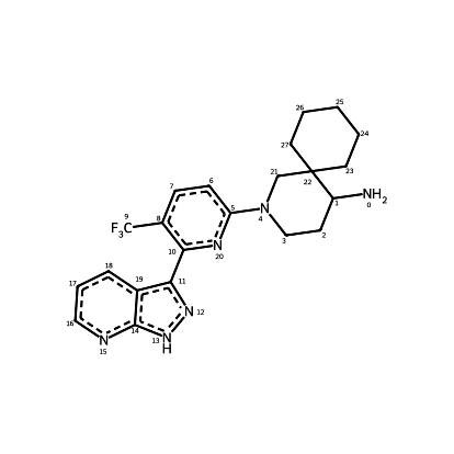 NC1CCN(c2ccc(C(F)(F)F)c(-c3n[nH]c4ncccc34)n2)CC12CCCCC2